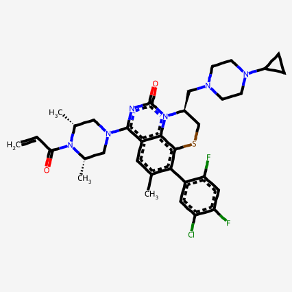 C=CC(=O)N1[C@H](C)CN(c2nc(=O)n3c4c(c(-c5cc(Cl)c(F)cc5F)c(C)cc24)SC[C@@H]3CN2CCN(C3CC3)CC2)C[C@@H]1C